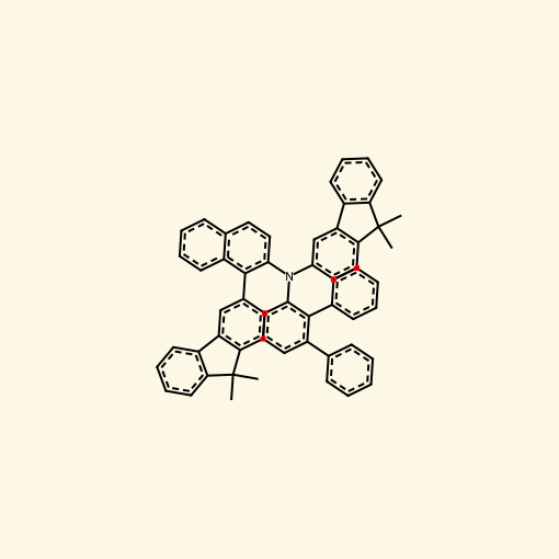 CC1(C)c2ccccc2-c2cc(-c3c(N(c4ccc5c(c4)-c4ccccc4C5(C)C)c4cccc(-c5ccccc5)c4-c4ccccc4)ccc4ccccc34)ccc21